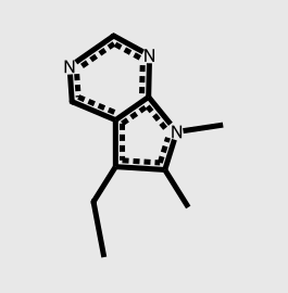 CCc1c(C)n(C)c2ncncc12